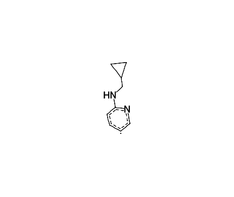 [c]1ccc(NCC2CC2)nc1